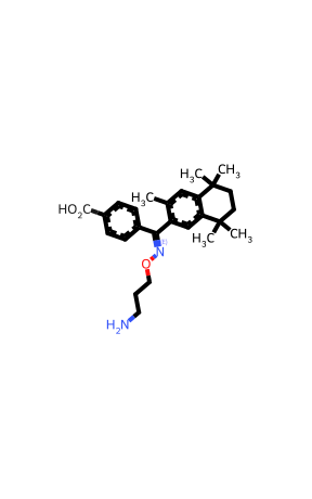 Cc1cc2c(cc1/C(=N/OCCCN)c1ccc(C(=O)O)cc1)C(C)(C)CCC2(C)C